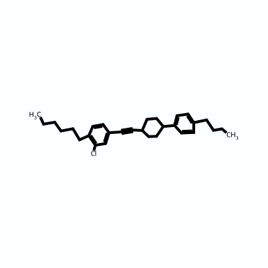 CCCCCCc1ccc(C#CC2CCC(c3ccc(CCCC)cc3)CC2)cc1Cl